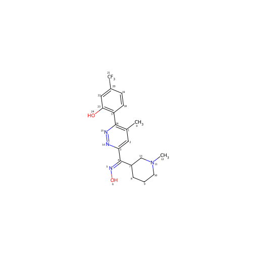 Cc1cc(/C(=N/O)C2CCCN(C)C2)nnc1-c1ccc(C(F)(F)F)cc1O